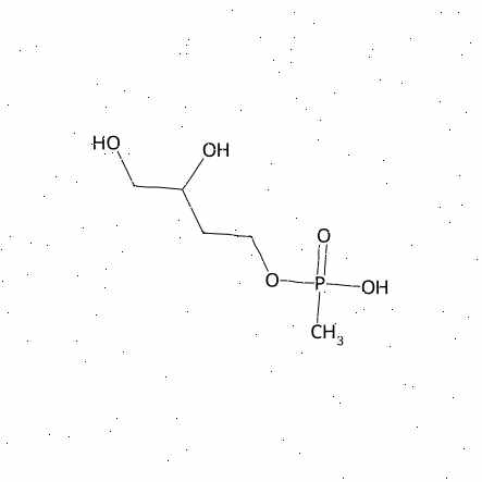 CP(=O)(O)OCCC(O)CO